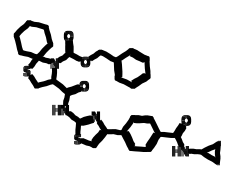 O=C(NC1CC1)c1ccc(-c2csc(NC(=O)C3CSC4(CCCCC4)N3C(=O)OCc3ccccc3)n2)cc1